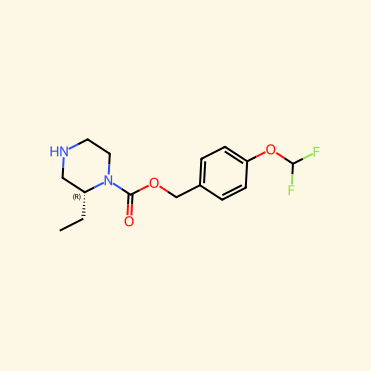 CC[C@@H]1CNCCN1C(=O)OCc1ccc(OC(F)F)cc1